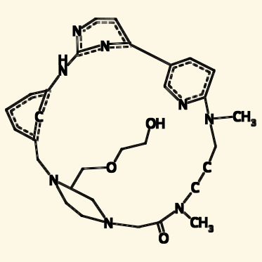 CN1CCCN(C)c2ccc(cn2)-c2ccnc(n2)Nc2cccc(c2)CN2CCN(CC1=O)CC2COCCO